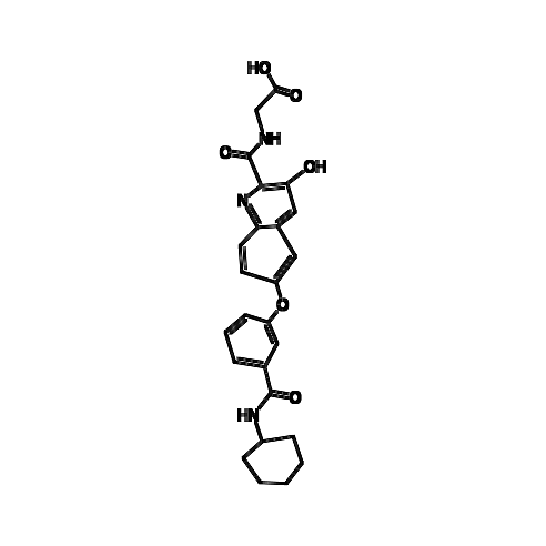 O=C(O)CNC(=O)c1nc2ccc(Oc3cccc(C(=O)NC4CCCCC4)c3)cc2cc1O